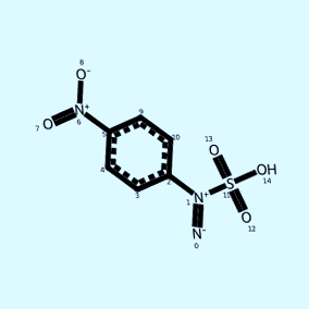 [N-]=[N+](c1ccc([N+](=O)[O-])cc1)S(=O)(=O)O